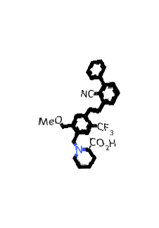 COCc1cc(/C=C/c2cccc(-c3ccccc3)c2C#N)c(C(F)(F)F)cc1CN1CCCC[C@H]1C(=O)O